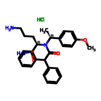 COc1ccc([C@@H](C)N(C(=O)C(c2ccccc2)c2ccccc2)[C@H](CCCN)C(N)=O)cc1.Cl